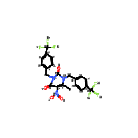 Cc1c([N+](=O)[O-])c(=O)n(Cc2ccc(C(F)(F)F)cc2)c(=O)n1Cc1ccc(C(F)(F)F)cc1